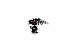 CC(c1ccc(F)cc1)n1nc2c(c1-n1ccn(-c3ccc4c(cnn4C)c3F)c1=O)[C@H](C)N(C(=O)OC(C)(C)C)CC2